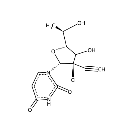 C#C[C@@]1(Cl)C(O)[C@@H]([C@@H](C)O)O[C@H]1n1ccc(=O)[nH]c1=O